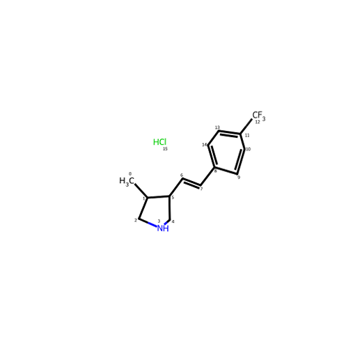 CC1CNCC1C=Cc1ccc(C(F)(F)F)cc1.Cl